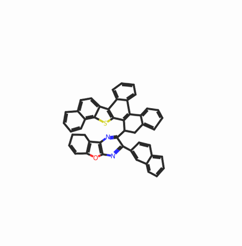 C1=Cc2oc3nc(-c4ccc5ccccc5c4)c(C4Cc5ccccc5-c5c4c4sc6c7ccccc7ccc6c4c4ccccc54)nc3c2CC1